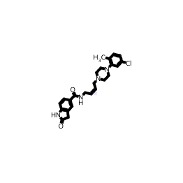 Cc1ccc(Cl)cc1N1CCN(C/C=C\CNC(=O)c2ccc3c(c2)CC(=O)N3)CC1